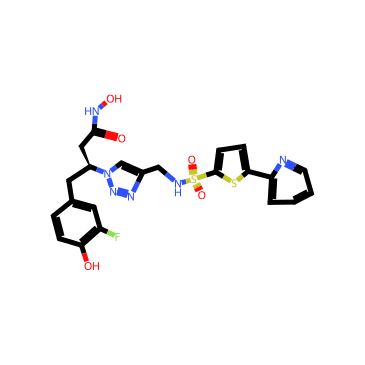 O=C(C[C@H](Cc1ccc(O)c(F)c1)n1cc(CNS(=O)(=O)c2ccc(-c3ccccn3)s2)nn1)NO